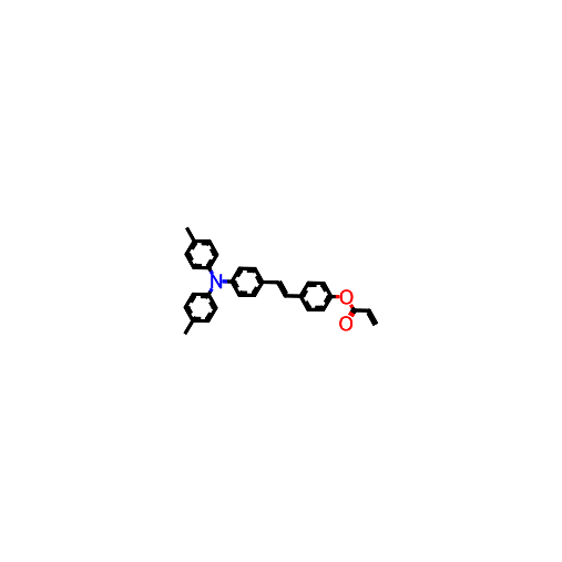 C=CC(=O)Oc1ccc(C=Cc2ccc(N(c3ccc(C)cc3)c3ccc(C)cc3)cc2)cc1